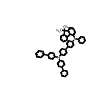 CC1(C)c2ccccc2-c2c(N(c3ccccc3)c3ccc(-c4ccc(N(c5ccc(-c6ccccc6)cc5)c5ccc(-c6ccccc6)cc5)cc4)cc3)cccc21